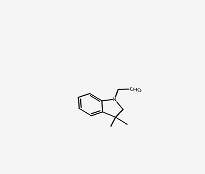 CC1(C)CN(CC=O)c2ccccc21